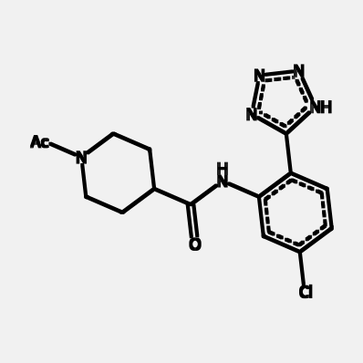 CC(=O)N1CCC(C(=O)Nc2cc(Cl)ccc2-c2nnn[nH]2)CC1